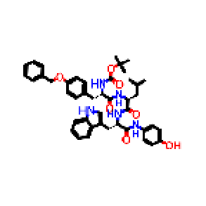 CC(C)C[C@H](NC(=O)[C@H](Cc1ccc(OCc2ccccc2)cc1)NC(=O)OC(C)(C)C)C(=O)N[C@@H](Cc1c[nH]c2ccccc12)C(=O)Nc1ccc(O)cc1